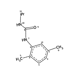 Cc1ccc(C)c(NC(=O)NC(C)C)c1